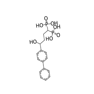 O=P(O)(O)C(CCC(O)c1ccc(-c2ccccc2)cc1)P(=O)(O)O